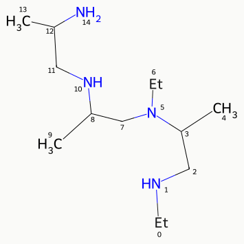 CCNCC(C)N(CC)CC(C)NCC(C)N